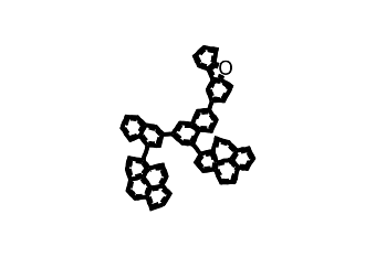 c1ccc2c(-c3ccc4ccc5cccc6ccc3c4c56)cc(-c3cc(-c4ccc5ccc6cccc7ccc4c5c67)c4ccc(-c5ccc6oc7ccccc7c6c5)cc4c3)cc2c1